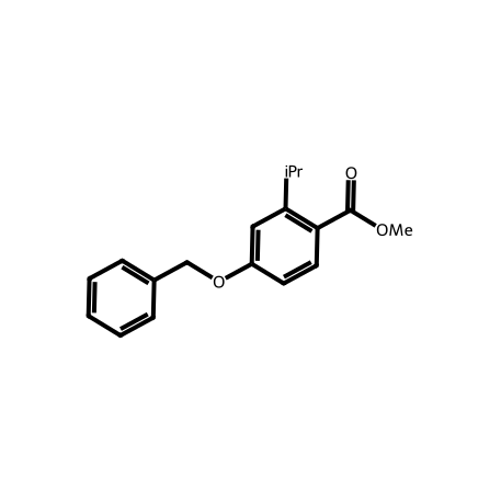 COC(=O)c1ccc(OCc2ccccc2)cc1C(C)C